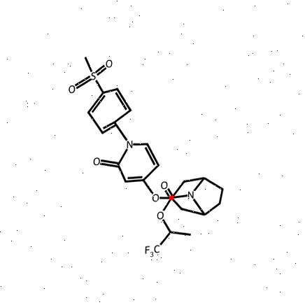 CC(OC(=O)N1C2CCC1CC(Oc1ccn(-c3ccc(S(C)(=O)=O)cc3)c(=O)c1)C2)C(F)(F)F